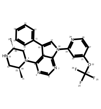 C[C@@H]1CN(c2ncnc3c2c(-c2ccccc2)cn3-c2cc(OC(F)(F)F)ccn2)[C@@H](C)CN1